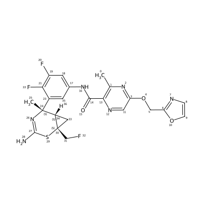 Cc1nc(OCc2ncco2)cnc1C(=O)Nc1cc(F)c(F)c([C@@]2(C)N=C(N)S[C@@]3(CF)C[C@H]32)c1